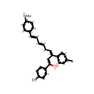 CCc1ccc(/C(O)=C/C(=C\C/C=C/C=C/c2ccc(NC)cc2)c2ccc(C)cc2)cc1